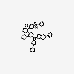 c1ccc(-c2ccc(N(c3ccc(-c4cccc5oc6cc7sc(-c8ccccc8)nc7cc6c45)c(-c4ccccc4)c3)c3ccc4cc(-c5ccccc5)ccc4c3)cc2)cc1